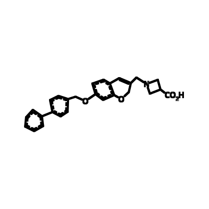 O=C(O)C1CN(CC2=Cc3ccc(OCc4ccc(-c5ccccc5)cc4)cc3OC2)C1